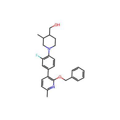 Cc1ccc(-c2ccc(N3CCC(CO)C(C)C3)c(F)c2)c(OCc2ccccc2)n1